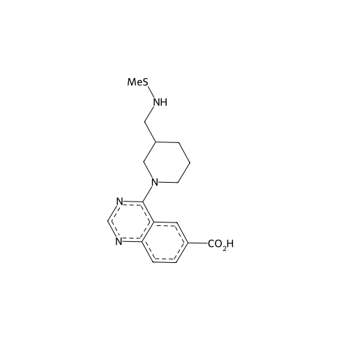 CSNCC1CCCN(c2ncnc3ccc(C(=O)O)cc23)C1